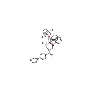 Cc1nc2ccccc2n1[C@H]1C[C@H]2CC[C@@H](C1)N2CCC1(c2ccccc2)CCN(C(=O)c2ccc(-n3ccnc3)cc2)CC1